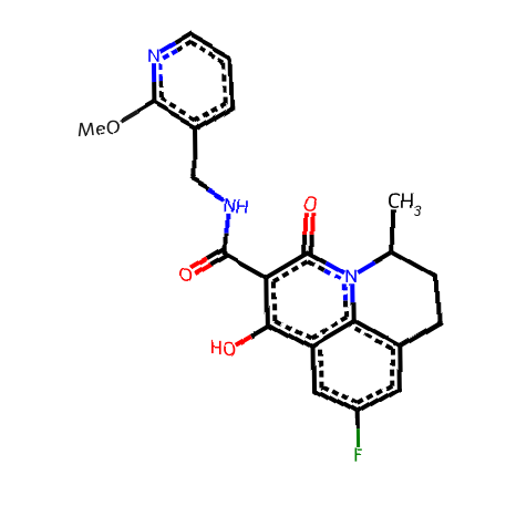 COc1ncccc1CNC(=O)c1c(O)c2cc(F)cc3c2n(c1=O)C(C)CC3